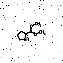 COB(OC)C1CCCN1